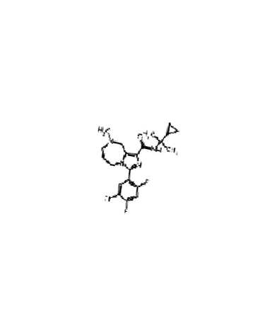 CN1CCCn2c(-c3cc(Cl)c(F)cc3F)nc(C(=O)NC(C)(C)C3CC3)c2C1